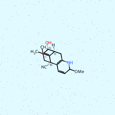 C/C=C1\[C@@H]2CC3=C(C=CC(OC)N3)[C@@]1(C#N)CC(C)[C@@H]2O